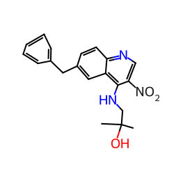 CC(C)(O)CNc1c([N+](=O)[O-])cnc2ccc(Cc3ccccc3)cc12